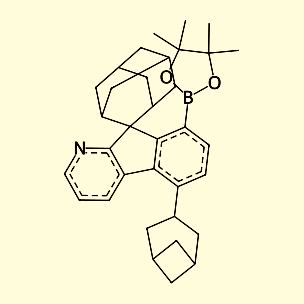 CC1(C)OB(c2ccc(C3CC4CC(C4)C3)c3c2C2(c4ncccc4-3)C3CC4CC(C3)CC2C4)OC1(C)C